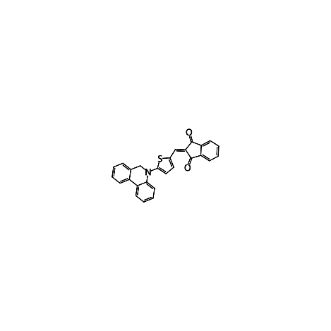 O=C1C(=Cc2ccc(N3Cc4ccccc4-c4ccccc43)s2)C(=O)c2ccccc21